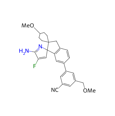 COCc1cc(C#N)cc(-c2ccc3c(c2)C2(C=C(F)C(N)=N2)C2(CCC(OC)CC2)C3)c1